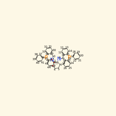 C(=NC1CCCCC1N=Cc1ccccc1P(c1ccccc1)c1ccccc1)c1ccccc1P(c1ccccc1)c1ccccc1